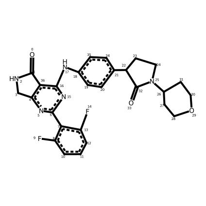 O=C1NCc2nc(-c3c(F)cccc3F)nc(Nc3ccc(C4CCN(C5CCOCC5)C4=O)cc3)c21